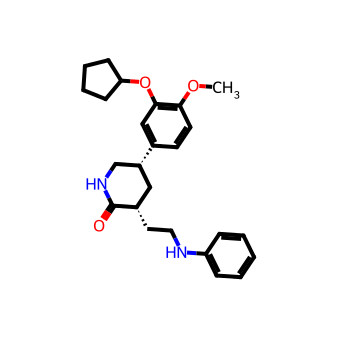 COc1ccc([C@H]2CNC(=O)[C@@H](CCNc3ccccc3)C2)cc1OC1CCCC1